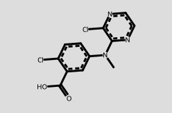 CN(c1ccc(Cl)c(C(=O)O)c1)c1nccnc1Cl